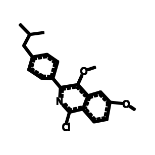 COc1ccc2c(Cl)nc(-c3ccc(CC(C)C)cc3)c(OC)c2c1